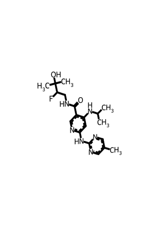 Cc1cnc(Nc2cc(NC(C)C)c(C(=O)NCC(F)C(C)(C)O)cn2)nc1